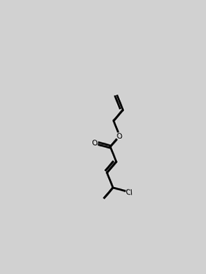 C=CCOC(=O)/C=C/C(C)Cl